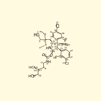 CCC(CC)(CO)C[C@@H]1N[C@H](OC(=O)NCC[C@H](O)CO)[C@H](c2cccc(Cl)c2F)[C@@]1(C#N)c1ccc(Cl)cc1F